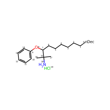 CCCCCCCCCCCCCCCCC(Oc1ccccc1)C(C)(C)N.Cl